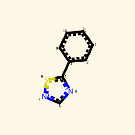 [c]1ccc(-c2ncns2)cc1